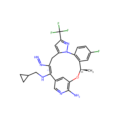 C[C@H]1Oc2cc(cnc2N)/C(NCC2CC2)=C(/N=N)Cc2cc(C(F)(F)F)nn2-c2ccc(F)cc21